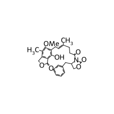 COc1c(C)c2c(c(O)c1C/C=C(\C)CCC(=O)N1C(=O)OCC1Cc1ccccc1)C(=O)OC2